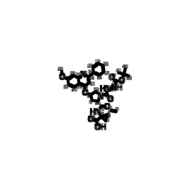 C=C[C@@H]1C[C@]1(NC(=O)[C@@H]1C[C@@H](Oc2cc(-c3ccccc3)nc3cc(OC)ccc23)CN1C(=O)NNC(=O)OC(C)(C)C)C(=O)O